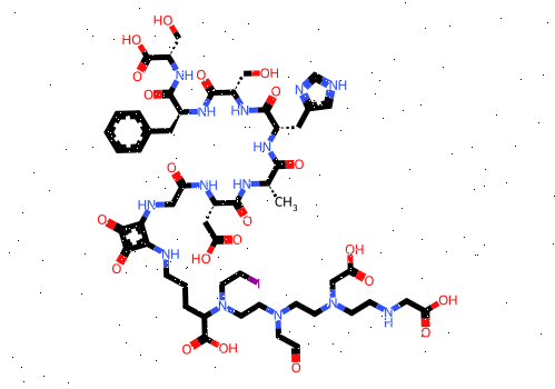 C[C@H](NC(=O)[C@H](CC(=O)O)NC(=O)CNc1c(NCCCC(C(=O)O)N(CCI)CCN(CC=O)CCN(CCNCC(=O)O)CC(=O)O)c(=O)c1=O)C(=O)N[C@@H](Cc1c[nH]cn1)C(=O)N[C@@H](CO)C(=O)N[C@@H](Cc1ccccc1)C(=O)N[C@@H](CO)C(=O)O